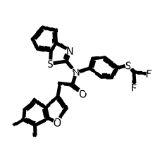 Cc1ccc2c(CC(=O)N(c3ccc(SC(F)F)cc3)c3nc4ccccc4s3)coc2c1C